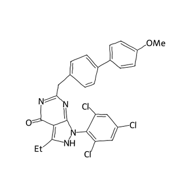 CCc1[nH]n(-c2c(Cl)cc(Cl)cc2Cl)c2nc(Cc3ccc(-c4ccc(OC)cc4)cc3)nc(=O)c1-2